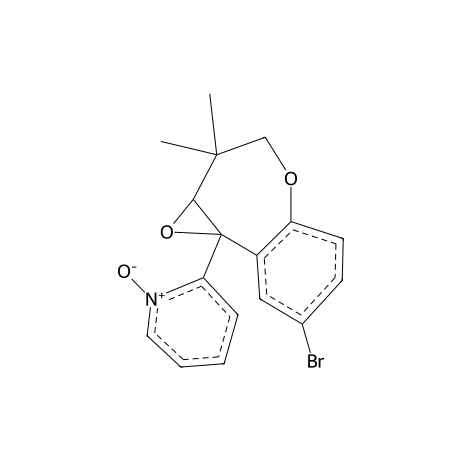 CC1(C)COc2ccc(Br)cc2C2(c3cccc[n+]3[O-])OC12